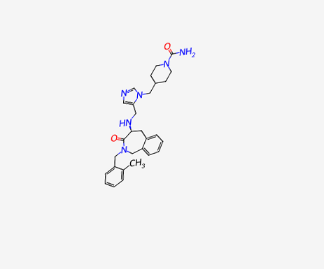 Cc1ccccc1CN1Cc2ccccc2C[C@H](NCc2cncn2CC2CCN(C(N)=O)CC2)C1=O